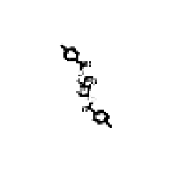 Cc1ccc(C(=O)O[C@@H]2CO[C@H]3C2OC[C@H]3OC(=O)c2ccc(C)cc2)cc1